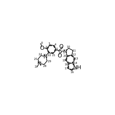 COc1ccc(S(=O)(=O)N2CCc3cc4[nH]ccc4cc32)cc1N1CCN(C)CC1